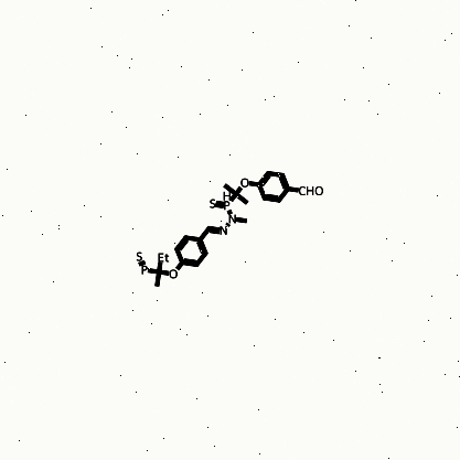 CCC(C)(Oc1ccc(/C=N/N(C)[PH](=S)C(C)(C)Oc2ccc(C=O)cc2)cc1)P=S